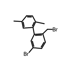 Cc1ccc(C)c(-c2cc(Br)ccc2CBr)c1